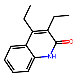 CCc1c(CC)c2ccccc2[nH]c1=O